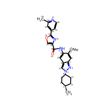 COc1cc2nn([C@H]3CC[C@H](C)CC3)cc2cc1NC(=O)c1coc(-c2ccnc(C)c2)n1